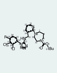 CC(C)(C)OC(=O)N1CCCN(c2ncccc2CNc2nnnn2-c2ccc(F)c(Cl)c2Cl)CC1